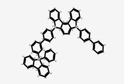 c1ccc(-c2ccc(-n3c4ccccc4c4c5c6ccccc6n(-c6ccc(-c7cccc([Si]8(c9ccccc9)c9ccccc9-c9ccccc98)c7)cc6)c5ccc43)cc2)cc1